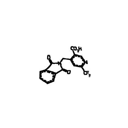 O=C(O)c1cnc(C(F)(F)F)cc1CN1C(=O)c2ccccc2C1=O